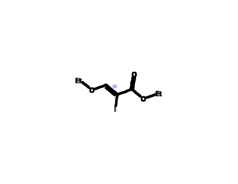 CCO/C=C(\I)C(=O)OCC